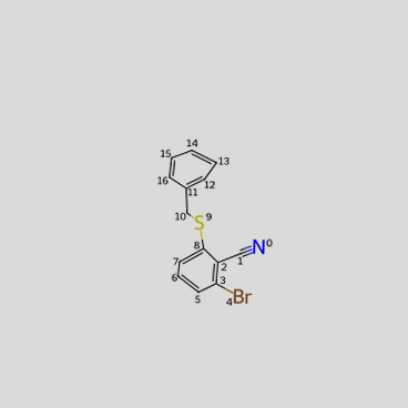 N#Cc1c(Br)cccc1SCc1ccccc1